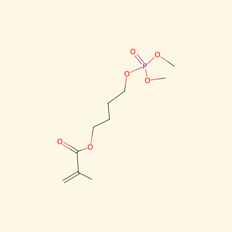 C=C(C)C(=O)OCCCCOP(=O)(OC)OC